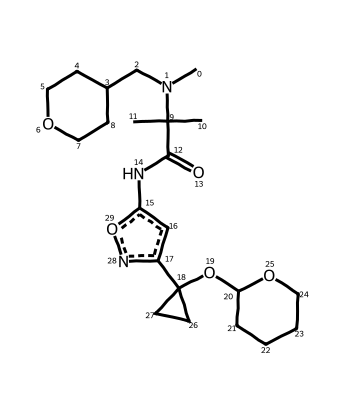 CN(CC1CCOCC1)C(C)(C)C(=O)Nc1cc(C2(OC3CCCCO3)CC2)no1